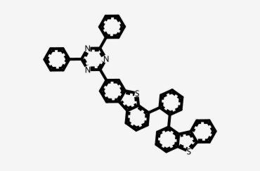 c1ccc(-c2nc(-c3ccccc3)nc(-c3ccc4c(c3)sc3c(-c5ccccc5-c5cccc6sc7ccccc7c56)cccc34)n2)cc1